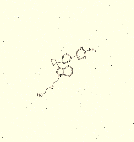 Nc1ncc(-c2ccc(C3(c4cn(CCOCCO)c5ccccc45)CCC3)cc2)cn1